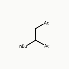 CCCCC(CC(C)=O)C(C)=O